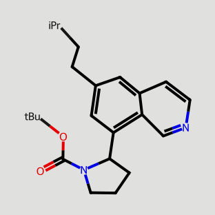 CC(C)CCc1cc(C2CCCN2C(=O)OC(C)(C)C)c2cnccc2c1